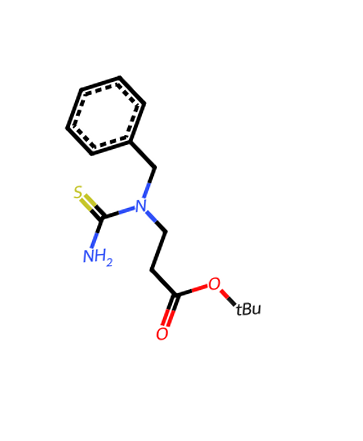 CC(C)(C)OC(=O)CCN(Cc1ccccc1)C(N)=S